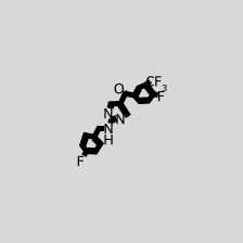 O=C(c1cnc(NCc2ccc(F)cc2)nc1)c1ccc(F)c(C(F)(F)F)c1